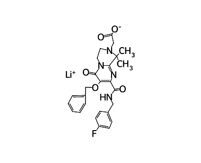 CC1(C)c2nc(C(=O)NCc3ccc(F)cc3)c(OCc3ccccc3)c(=O)n2CCN1CC(=O)[O-].[Li+]